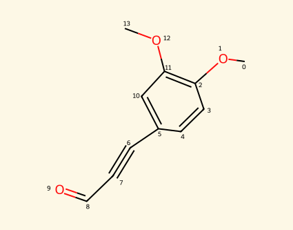 COc1ccc(C#CC=O)cc1OC